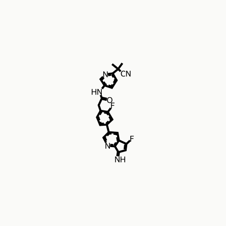 CC(C)(C#N)c1ccc(NC(=O)Cc2ccc(-c3cnc4c(c3)C(F)=CC4=N)cc2F)cn1